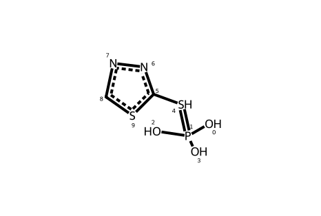 OP(O)(O)=[SH]c1nncs1